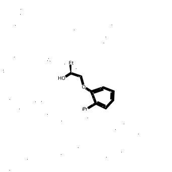 CC[C@H](O)COc1ccccc1C(C)C